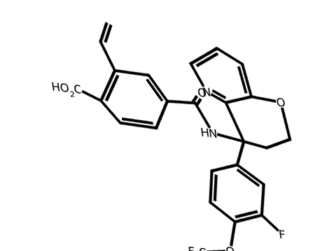 C=Cc1cc(C(=O)NC2(c3ccc(OC(F)(F)F)c(F)c3)CCOc3cccnc32)ccc1C(=O)O